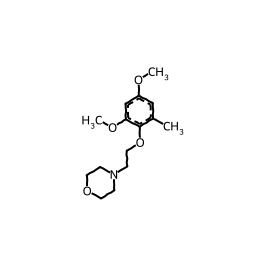 COc1cc(C)c(OCCN2CCOCC2)c(OC)c1